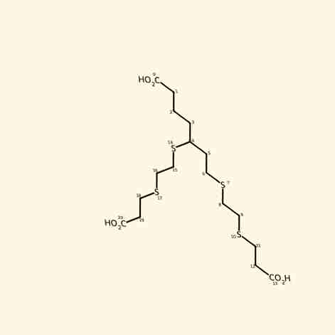 O=C(O)CCCC(CCSCCSCCC(=O)O)SCCSCCC(=O)O